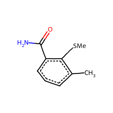 CSc1c(C)cccc1C(N)=O